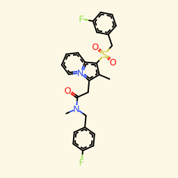 Cc1c(S(=O)(=O)Cc2cccc(F)c2)c2ccccn2c1CC(=O)N(C)Cc1ccc(F)cc1